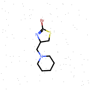 BrC1=NC(CN2CCCCC2)CS1